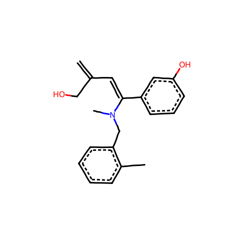 C=C(/C=C(/c1cccc(O)c1)N(C)Cc1ccccc1C)CO